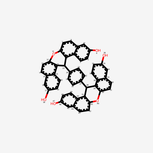 Oc1ccc2c3c(ccc2c1)Oc1ccc2cc(O)ccc2c1C3c1ccc(C2c3c(ccc4cc(O)ccc34)Oc3ccc4cc(O)ccc4c32)cc1